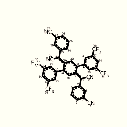 N#C/C(c1cccc(C#N)c1)=c1/cc(-c2cc(C(F)(F)F)cc(C(F)(F)F)c2)/c(=C(\C#N)c2cccc(C#N)c2)cc1-c1cc(C(F)(F)F)cc(C(F)(F)F)c1